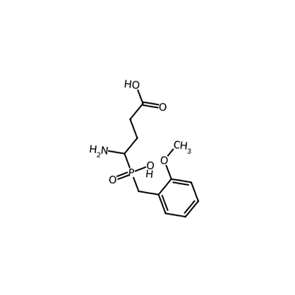 COc1ccccc1CP(=O)(O)C(N)CCC(=O)O